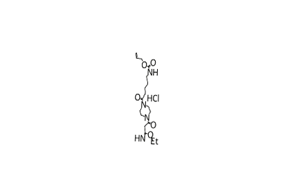 C=CCOC(=O)NCCCCC(=O)N1CCN(C(=O)CC(=N)OCC)CC1.Cl